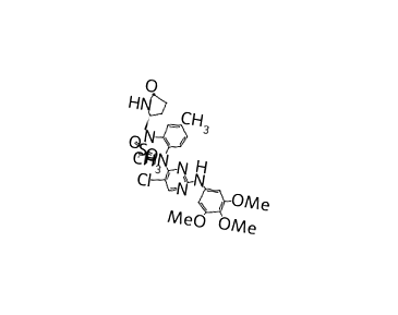 COc1cc(Nc2ncc(Cl)c(Nc3ccc(C)cc3N(C[C@@H]3CCC(=O)N3)S(C)(=O)=O)n2)cc(OC)c1OC